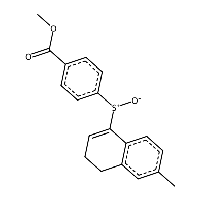 COC(=O)c1ccc([S+]([O-])C2=CCCc3cc(C)ccc32)cc1